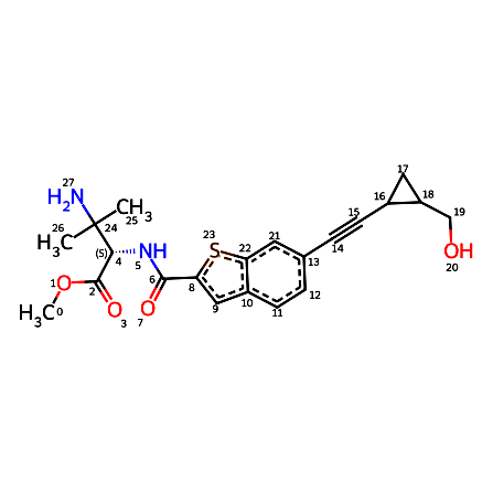 COC(=O)[C@@H](NC(=O)c1cc2ccc(C#CC3CC3CO)cc2s1)C(C)(C)N